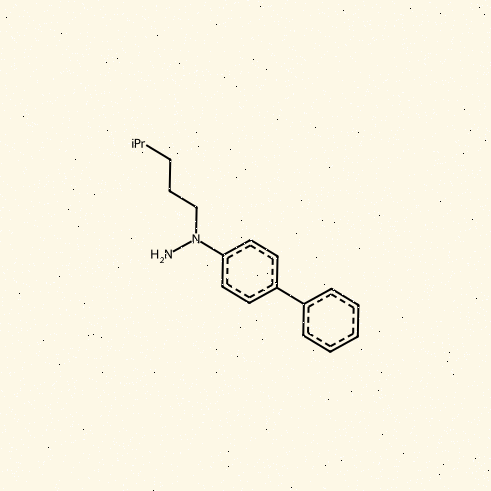 CC(C)CCCN(N)c1ccc(-c2ccccc2)cc1